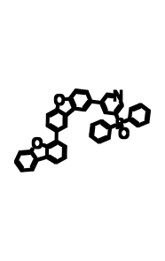 O=P(c1ccccc1)(c1ccccc1)c1cncc(-c2ccc3oc4ccc(-c5cccc6c5oc5ccccc56)cc4c3c2)c1